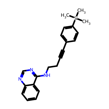 C[Si](C)(C)c1ccc(C#CCCNc2ncnc3ccccc23)cc1